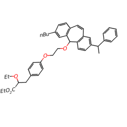 CCCCc1ccc2c(c1)C(OCCOc1ccc(CC(OCC)C(=O)OCC)cc1)c1ccc(C(C)c3ccccc3)cc1C=C2